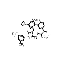 COc1ccc([C@@H](I)[C@H](I)C(=O)O)cc1-c1ccc(N2CCC2)nc1CN1C(=O)O[C@H](c2cc(C(F)(F)F)cc(C(F)(F)F)c2)[C@@H]1C